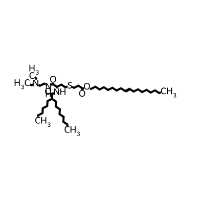 CCCCCCCCC=CCCCCCCCCOC(=O)CCSCCC(NC(=O)C(CCCCCC)CCCCCCCC)C(=O)NCCN(CC)CC